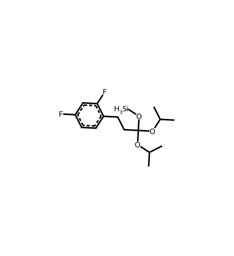 CC(C)OC(CCc1ccc(F)cc1F)(O[SiH3])OC(C)C